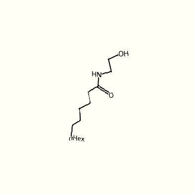 [CH2]CCCCCCCCCCC(=O)NCCO